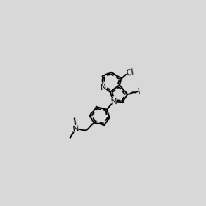 CN(C)Cc1ccc(-n2cc(I)c3c(Cl)ccnc32)cc1